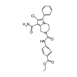 CCOC(=O)c1ccc(NC(=O)N2CCn3c(c(C(N)=O)c(Cl)c3-c3ccccc3)C2)cc1